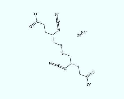 [N-]=[N+]=N[C@@H](CCS(=O)[O-])CSSC[C@H](CCS(=O)[O-])N=[N+]=[N-].[Na+].[Na+]